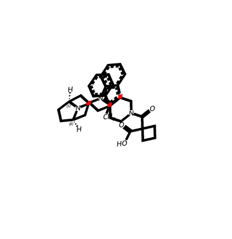 Cc1nc2ccccc2n1C1C[C@H]2CC[C@@H](C1)N2CCC1(c2ccccc2)CCN(C(=O)C2(C(=O)O)CCC2)CC1